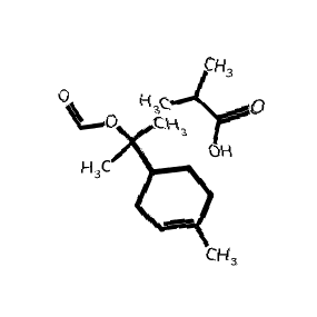 CC(C)C(=O)O.CC1=CCC(C(C)(C)OC=O)CC1